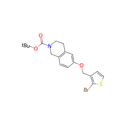 CC(C)(C)OC(=O)N1CCc2cc(OCc3ccsc3Br)ccc2C1